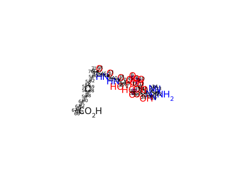 CC(C)(COP(=O)(O)OP(=O)(O)OCC1OC(n2cnc3c(N)ncnc32)C(O)C1OP(=O)(O)O)C(O)C(=O)NCCC(=O)NCCC(=O)C1(CCCCc2ccc(CCCCCCC3(C(=O)O)CC3)cc2)CC1